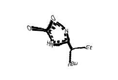 CCCCC(CC)c1noc(=O)[nH]1